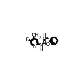 Cc1cc(NN2NC[C@]3(CC4CCC3CC4)O2)ncc1F